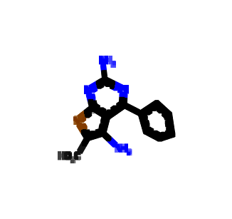 Nc1nc(-c2ccccc2)c2c(N)c(C(=O)O)sc2n1